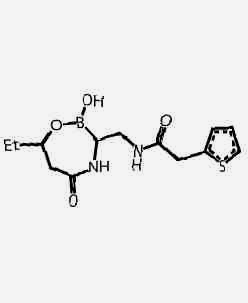 CCC1CC(=O)N[C@H](CNC(=O)Cc2cccs2)B(O)O1